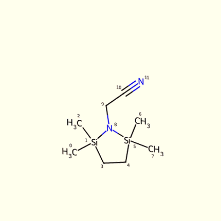 C[Si]1(C)CC[Si](C)(C)N1CC#N